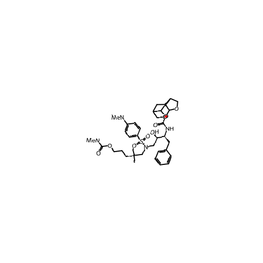 CNC(=O)OCCCC(C)(C)CN(C[C@@H](O)[C@H](Cc1ccccc1)NC(=O)OC1C2COC3OCC1C3C2)S(=O)(=O)c1ccc(NC)cc1